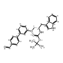 CC(C)(C)OC(=O)N[C@H](COc1cncc(-c2ccc(C=O)cc2)c1)Cc1c[nH]c2ccccc12